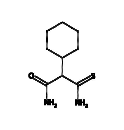 NC(=O)C(C(N)=S)C1CCCCC1